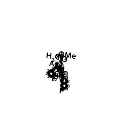 CON(C)C(=O)CC[C@@H](COC(=O)Nc1cc2cc(F)ccc2cn1)N(NCc1cccc(F)c1Cl)C(C)=O